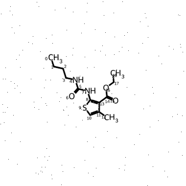 CCCCNC(=O)Nc1scc(C)c1C(=O)OCC